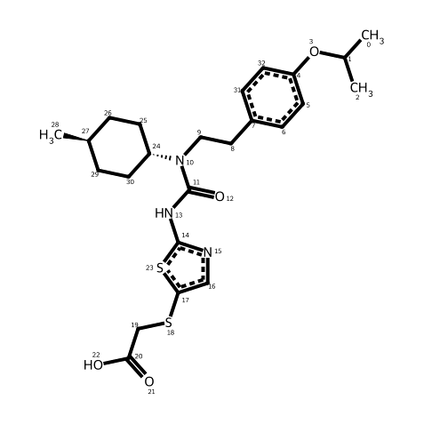 CC(C)Oc1ccc(CCN(C(=O)Nc2ncc(SCC(=O)O)s2)[C@H]2CC[C@H](C)CC2)cc1